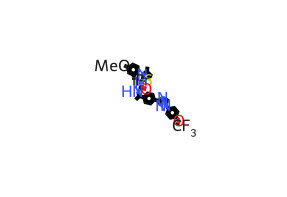 COc1ccc(-n2c(C)cs/c2=N\C(=O)NC(C)c2ccc(-c3ncn(-c4ccc(OC(F)(F)F)cc4)n3)cc2)c(C(C)C)c1